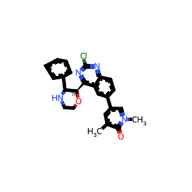 Cc1cc(-c2ccc3nc(Cl)nc([C@H]4OCCNC4c4ccccc4)c3c2)cn(C)c1=O